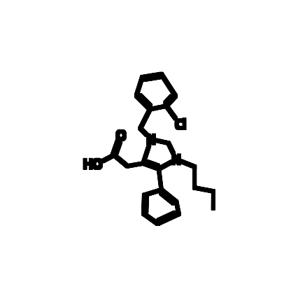 CCCCN1CN(Cc2ccccc2Cl)C(CC(=O)O)=C1c1ccccc1